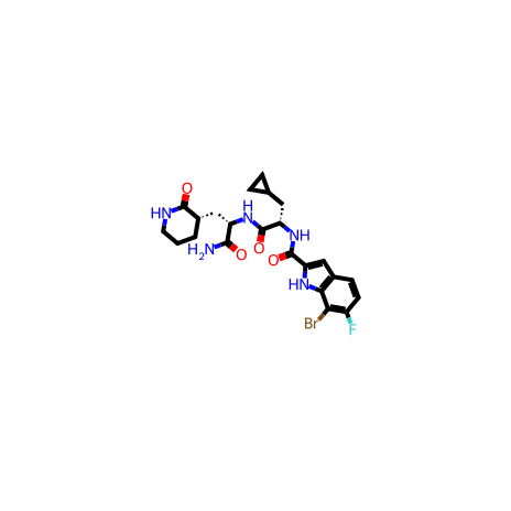 NC(=O)[C@H](C[C@@H]1CCCNC1=O)NC(=O)[C@H](CC1CC1)NC(=O)c1cc2ccc(F)c(Br)c2[nH]1